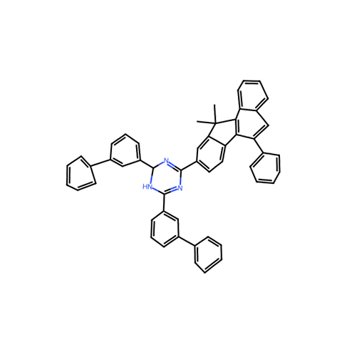 CC1(C)c2cc(C3=NC(c4cccc(-c5ccccc5)c4)NC(c4cccc(-c5ccccc5)c4)=N3)ccc2-c2c(-c3ccccc3)cc3ccccc3c21